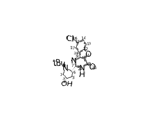 CC(C)(C)N1C[C@@H](O)C[C@H]1c1nc2c(oc3ccc(Cl)cc32)c(=O)[nH]1